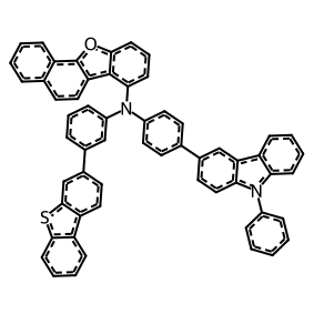 c1ccc(-n2c3ccccc3c3cc(-c4ccc(N(c5cccc(-c6ccc7c(c6)sc6ccccc67)c5)c5cccc6oc7c8ccccc8ccc7c56)cc4)ccc32)cc1